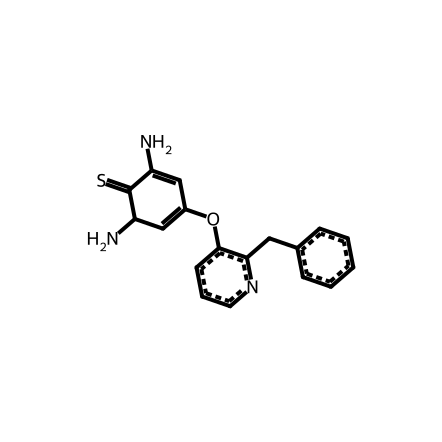 NC1=CC(Oc2cccnc2Cc2ccccc2)=CC(N)C1=S